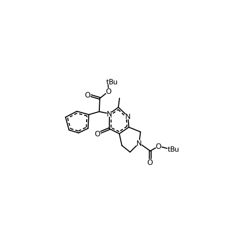 Cc1nc2c(c(=O)n1C(C(=O)OC(C)(C)C)c1ccccc1)CCN(C(=O)OC(C)(C)C)C2